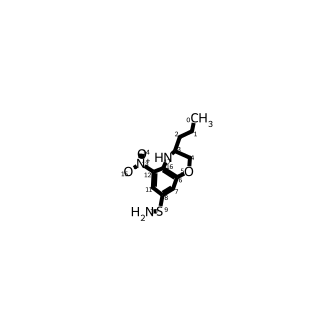 CCCC1COc2cc(SN)cc([N+](=O)[O-])c2N1